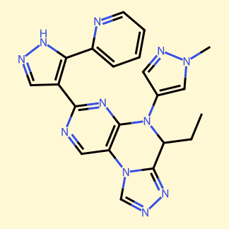 CCC1c2nncn2-c2cnc(-c3cn[nH]c3-c3ccccn3)nc2N1c1cnn(C)c1